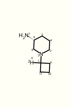 [2H]C1(N2CCC[C@@H](N)C2)CCC1